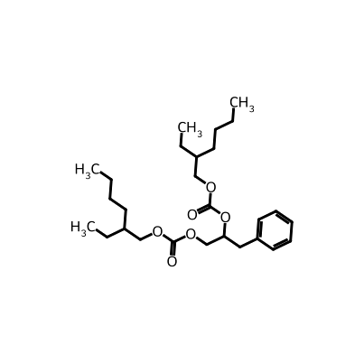 CCCCC(CC)COC(=O)OCC(Cc1ccccc1)OC(=O)OCC(CC)CCCC